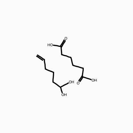 C=CCCCC(O)O.O=C(O)CCCCC(=O)O